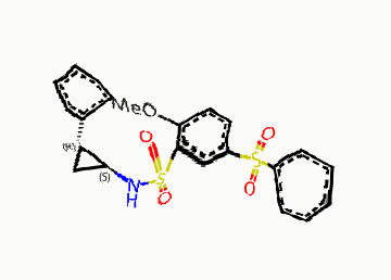 COc1ccc(S(=O)(=O)c2ccccc2)cc1S(=O)(=O)N[C@H]1C[C@@H]1c1ccccc1